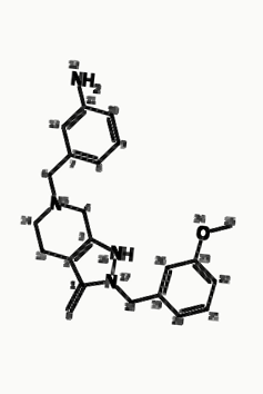 C=C1C2=C(CN(Cc3cccc(N)c3)CC2)NN1Cc1cccc(OC)c1